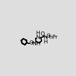 CCCONC(=O)C1CC[C@@H](NOCc2ccccc2)CN1